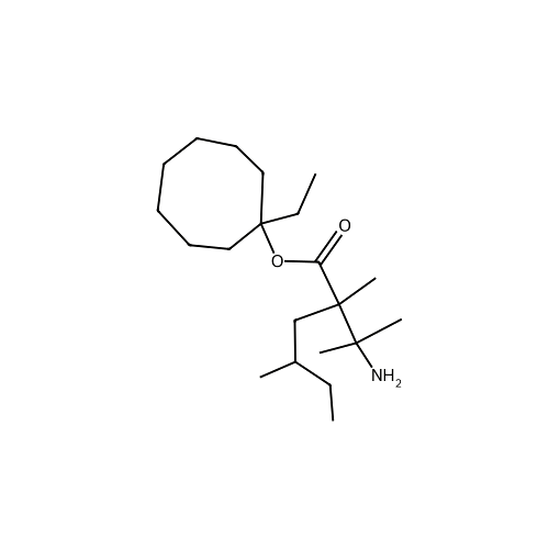 CCC(C)CC(C)(C(=O)OC1(CC)CCCCCCC1)C(C)(C)N